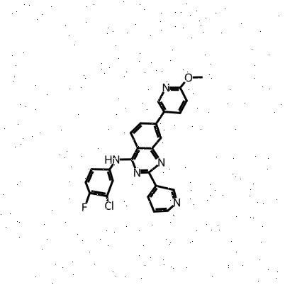 COc1ccc(-c2ccc3c(Nc4ccc(F)c(Cl)c4)nc(-c4cccnc4)nc3c2)cn1